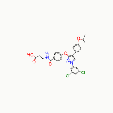 CC(C)Oc1ccc(-c2cn(-c3cc(Cl)cc(Cl)c3)nc2Oc2ccc(C(=O)NCCC(=O)O)cc2)cc1